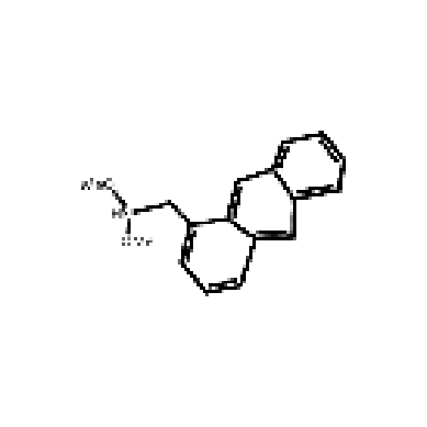 CO[SiH](Cc1cccc2cc3ccccc3cc12)OC